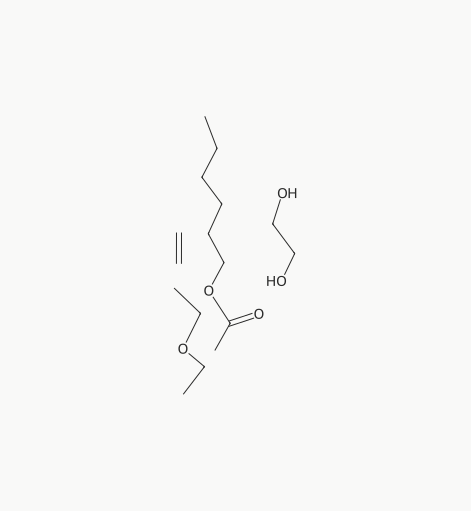 C=C.CCCCCCOC(C)=O.CCOCC.OCCO